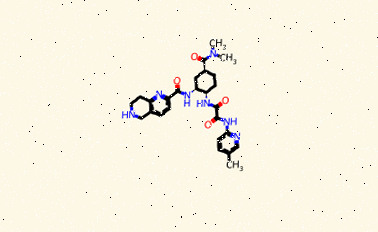 Cc1ccc(NC(=O)C(=O)N[C@H]2CC[C@H](C(=O)N(C)C)C[C@H]2NC(=O)c2ccc3c(n2)CCNC3)nc1